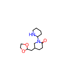 O=C1CCC(CC2OCCO2)CN1C1CCCCN1